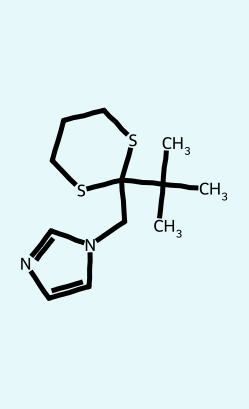 CC(C)(C)C1(Cn2ccnc2)SCCCS1